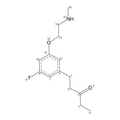 CCC(=O)CCc1cc(F)cc(OCCNC)c1